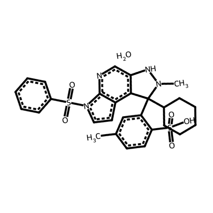 Cc1ccc(S(=O)(=O)O)c(C2(C3CCCCC3)c3c(cnc4c3ccn4S(=O)(=O)c3ccccc3)NN2C)c1.O